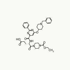 CCOC(=O)N1CCN(C(=O)[C@H](CCC(=O)O)NC(=O)c2cc(OC3CCN(Cc4ccccc4)CC3)nc(-c3ccccc3)n2)CC1